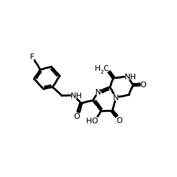 C=C1NC(=O)Cn2c1nc(C(=O)NCc1ccc(F)cc1)c(O)c2=O